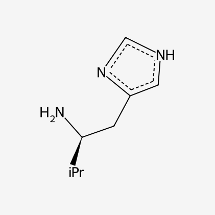 CC(C)[C@@H](N)Cc1c[nH]cn1